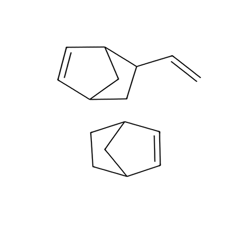 C1=CC2CCC1C2.C=CC1CC2C=CC1C2